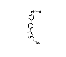 CCCCCCCc1ccc(-c2ccc(C(C)OC(=O)CCC(C)CC)cc2)cc1